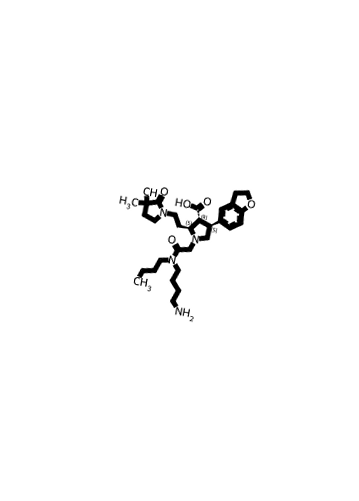 CCCCN(CCCCN)C(=O)CN1C[C@H](c2ccc3c(c2)CCO3)[C@@H](C(=O)O)[C@@H]1CCN1CCC(C)(C)C1=O